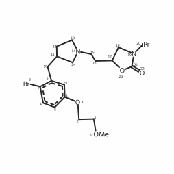 COCCOc1ccc(Br)c(CC2CCN(CCC3CN(C(C)C)C(=O)O3)C2)c1